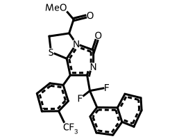 COC(=O)C1CSc2c(-c3cccc(C(F)(F)F)c3)c(C(F)(F)c3cccc4ccccc34)nc(=O)n21